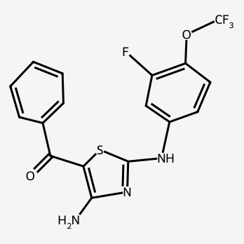 Nc1nc(Nc2ccc(OC(F)(F)F)c(F)c2)sc1C(=O)c1ccccc1